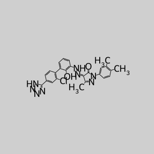 CC1=NN(c2ccc(C)c(C)c2)C(=O)C1=NNc1cccc(-c2ccc(-c3nnn[nH]3)cc2Cl)c1O